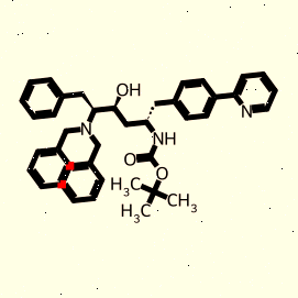 CC(C)(C)OC(=O)N[C@@H](Cc1ccc(-c2ccccn2)cc1)C[C@H](O)[C@H](Cc1ccccc1)N(Cc1ccccc1)Cc1ccccc1